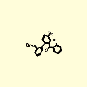 O=C(c1ccccc1F)c1cc(Br)ccc1-c1ccccc1CBr